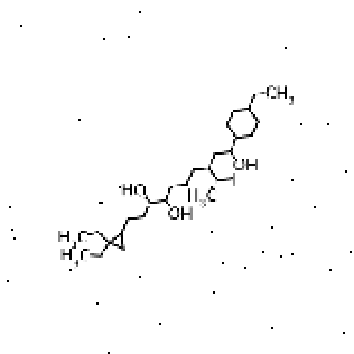 CCC1CCC(C(O)C[C@H](CCCC(O)[C@H](O)CCC2CC2(CC)CC)[C@@H](C)I)CC1